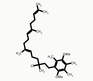 COc1c(C)c(C)c(OC)c(CCC(C)(Cl)CC/C=C(\C)CC/C=C(\C)CCC=C(C)C)c1C